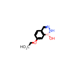 O=C(O)COc1ccc2c(c1)B(O)NN=C2